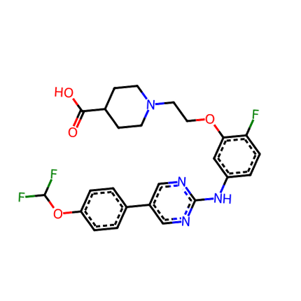 O=C(O)C1CCN(CCOc2cc(Nc3ncc(-c4ccc(OC(F)F)cc4)cn3)ccc2F)CC1